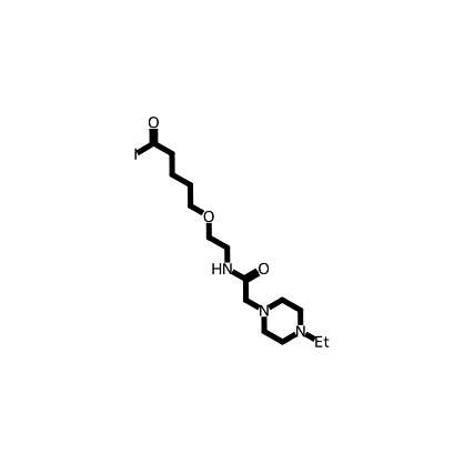 CCN1CCN(CC(=O)NCCOCCCCC(=O)I)CC1